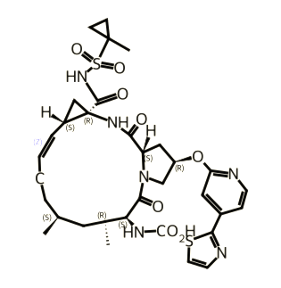 C[C@H]1CC/C=C\[C@@H]2C[C@@]2(C(=O)NS(=O)(=O)C2(C)CC2)NC(=O)[C@@H]2C[C@@H](Oc3cc(-c4nccs4)ccn3)CN2C(=O)[C@@H](NC(=O)O)[C@H](C)C1